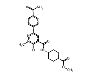 COC(=O)[C@H]1CC[C@H](NC(=O)c2cc(-c3ccc(C(=N)N)cc3)nn(C)c2=O)CC1